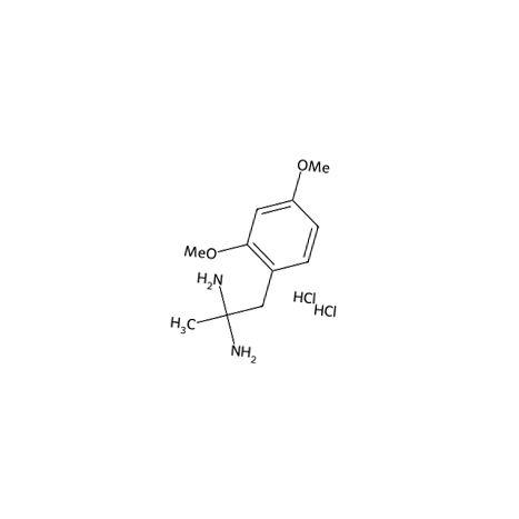 COc1ccc(CC(C)(N)N)c(OC)c1.Cl.Cl